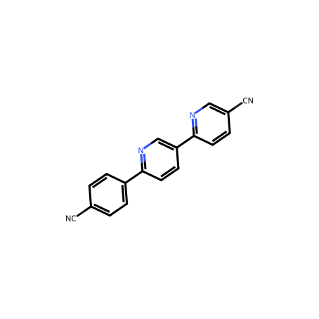 N#Cc1ccc(-c2ccc(-c3ccc(C#N)cn3)cn2)cc1